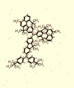 Cc1cc2c3c4c(cccc14)C(C)(C)c1cc(N(c4ccc5c(c4)C(C)(C)c4cc(N(c6ccc(C(C)(C)C)cc6)c6ccc(C(C)(C)C)cc6)ccc4-5)c4cc5c6c(c4)C(C)(C)c4cccc7c(C)cc(c-6c47)C5(C)C)cc(c1-3)C2(C)C